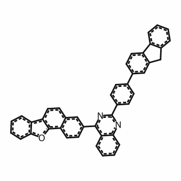 c1ccc2c(c1)Cc1cc(-c3ccc(-c4nc(-c5ccc6c(ccc7c8ccccc8oc67)c5)c5ccccc5n4)cc3)ccc1-2